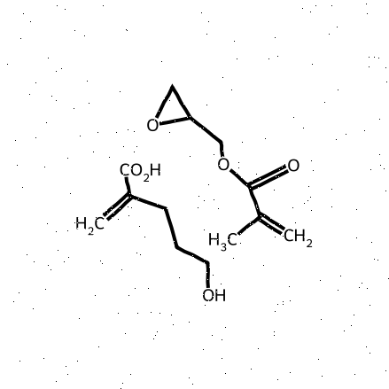 C=C(C)C(=O)OCC1CO1.C=C(CCCO)C(=O)O